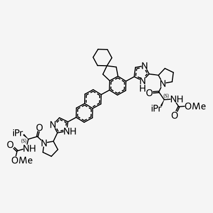 COC(=O)N[C@H](C(=O)N1CCCC1c1ncc(-c2ccc3cc(-c4ccc(-c5cnc(C6CCCN6C(=O)[C@@H](NC(=O)OC)C(C)C)[nH]5)c5c4CC4(CCCCC4)C5)ccc3c2)[nH]1)C(C)C